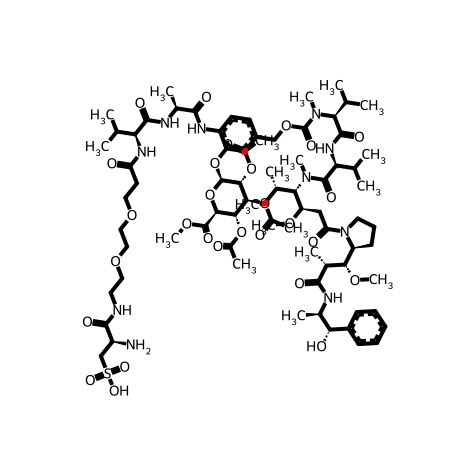 CC[C@H](C)[C@@H]([C@@H](CC(=O)N1CCC[C@H]1[C@H](OC)[C@@H](C)C(=O)N[C@H](C)[C@@H](O)c1ccccc1)OC)N(C)C(=O)[C@@H](NC(=O)[C@H](C(C)C)N(C)C(=O)OCc1ccc(NC(=O)[C@H](C)NC(=O)[C@@H](NC(=O)CCOCCOCCNC(=O)[C@@H](N)CS(=O)(=O)O)C(C)C)c(O[C@@H]2O[C@H](C(=O)OC)[C@@H](OC(C)=O)[C@H](OC(C)=O)[C@H]2OC(C)=O)c1)C(C)C